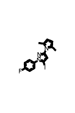 Cc1ccc(C)n1-c1cc(I)n(-c2ccc(F)cc2)n1